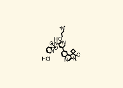 CN(C)CCCOc1ncc(-c2ccc3ncc4c(c3c2)C2(CCC2)C(=O)N4C)cc1NS(=O)(=O)c1ccccn1.Cl